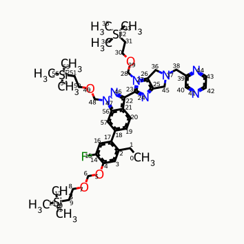 CCc1cc(OCOCC[Si](C)(C)C)c(F)cc1-c1ccc2c(-c3nc4c(n3COCC[Si](C)(C)C)CN(Cc3cnccn3)C4)nn(COCC[Si](C)(C)C)c2c1